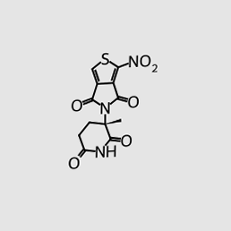 C[C@]1(N2C(=O)c3csc([N+](=O)[O-])c3C2=O)CCC(=O)NC1=O